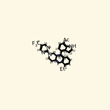 CCc1cccc(CC)c1/C=C1/CCN(c2ncc(C(F)(F)F)cn2)C/C1=C(/C)c1ccc(C(C)=O)c2[nH]ccc12